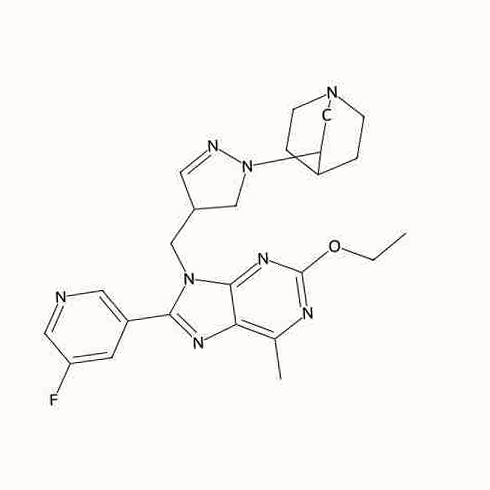 CCOc1nc(C)c2nc(-c3cncc(F)c3)n(CC3C=NN(C4CN5CCC4CC5)C3)c2n1